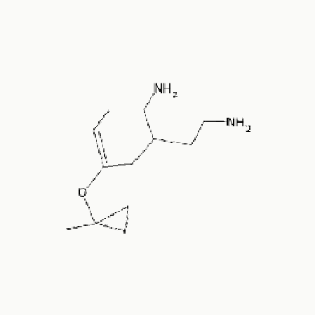 C/C=C(\CC(CN)CCN)OC1(C)CC1